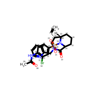 C=C[C@H]1CN(Cc2ccccn2)C(=O)C2CCC[C@@H]1N2S(=O)(=O)c1ccc(NC(C)=O)c(Br)c1